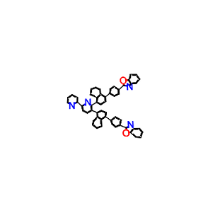 c1ccc(-c2ccc(-c3ccc(-c4ccc(-c5nc6ccccc6o5)cc4)c4ccccc34)c(-c3ccc(-c4ccc(-c5nc6ccccc6o5)cc4)c4ccccc34)n2)nc1